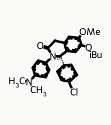 CCC(C)Oc1cc2c(cc1OC)CC(=O)N(c1ccc(N(C)C)cc1)[C@H]2c1ccc(Cl)cc1